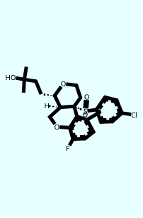 CC(C)(O)CC[C@@H]1OCC[C@@]2(S(=O)(=O)c3ccc(Cl)cc3)c3c(F)ccc(F)c3OC[C@@H]12